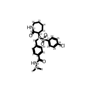 CN(C)NC(=O)c1ccc(CN(C2CCCCNC2=O)S(=O)(=O)c2ccc(Cl)cc2)cc1